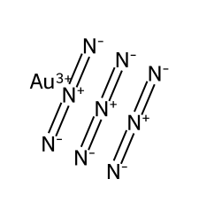 [Au+3].[N-]=[N+]=[N-].[N-]=[N+]=[N-].[N-]=[N+]=[N-]